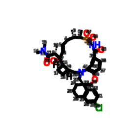 C[C@@H]1[C@@H](C)C/C=C/[C@@](O)([C@@H](C)C(=O)N(C)C)[C@@H]2CC[C@H]2CN2C[C@@]3(CCCc4cc(Cl)ccc43)COc3ccc(cc32)C(=O)NS1(=O)=O